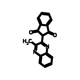 Cc1nc2ccccc2nc1C1C(=O)c2ccccc2C1=O